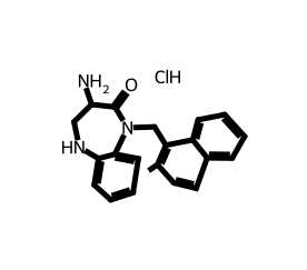 Cc1ccc2ccccc2c1CN1C(=O)C(N)CNc2ccccc21.Cl